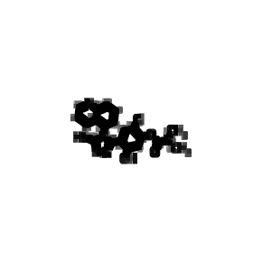 CN(C)C(=O)Oc1cc(O)c(-c2nnc(S)n2-c2cccc3ncccc23)cc1Cl